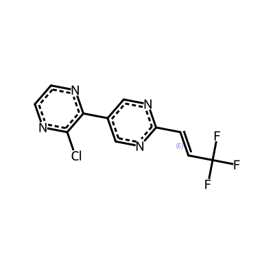 FC(F)(F)/C=C/c1ncc(-c2nccnc2Cl)cn1